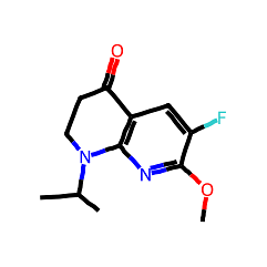 COc1nc2c(cc1F)C(=O)CCN2C(C)C